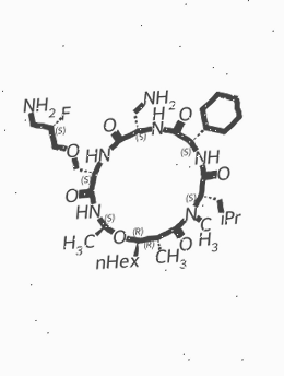 CCCCCC[C@H]1O[C@@H](C)NC(=O)[C@H](COC[C@@H](F)CN)NC(=O)[C@H](CN)NC(=O)[C@H](C2CCCCC2)NC(=O)[C@H](CC(C)C)N(C)C(=O)[C@@H]1C